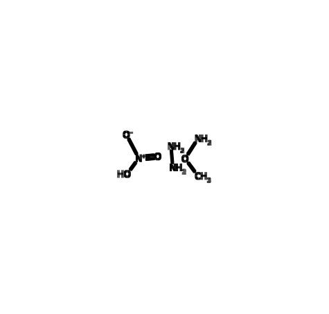 CON.NN.O=[N+]([O-])O